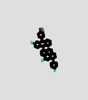 Fc1ccc(-c2ccc3ccc4c(-c5c6ccccc6c(-c6ccc(C(F)(F)F)cc6)c6cc(F)ccc56)ccc5c(F)cc2c3c54)cc1